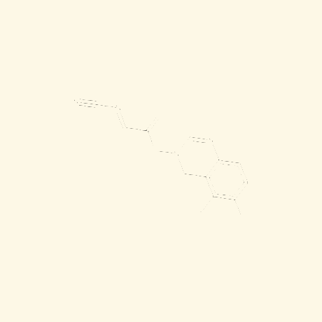 N#CN=CC(=O)ON1C=Nc2ccc(Cl)c(Cl)c2C1